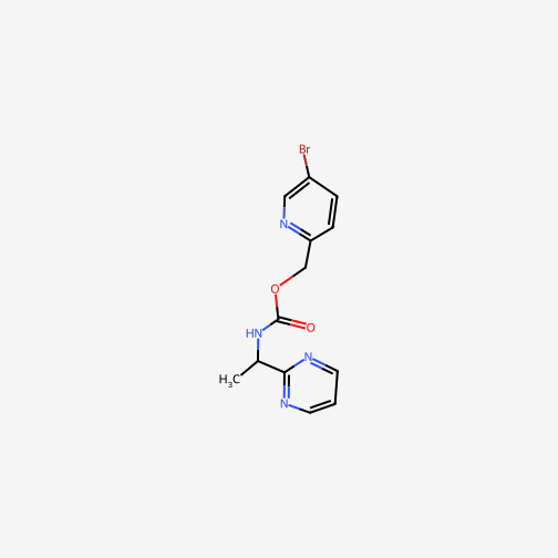 CC(NC(=O)OCc1ccc(Br)cn1)c1ncccn1